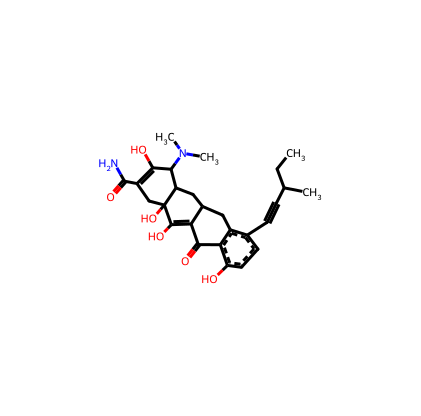 CCC(C)C#Cc1ccc(O)c2c1CC1CC3C(N(C)C)C(O)=C(C(N)=O)CC3(O)C(O)=C1C2=O